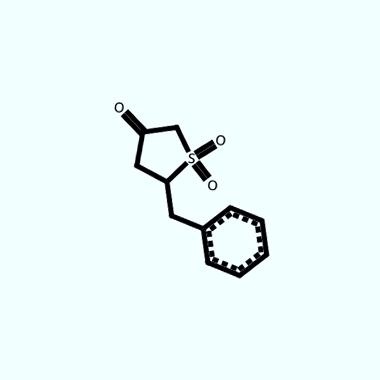 O=C1CC(Cc2ccccc2)S(=O)(=O)C1